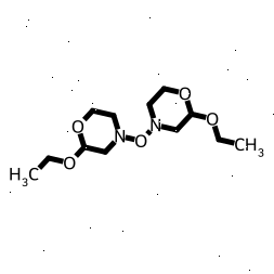 CCOC1CN(ON2CCOC(OCC)C2)CCO1